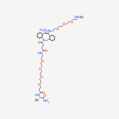 CCNCCOCCOCCOCCN/C1=C(\N)c2ccccc2N(C(=O)CCC(=O)NCCOCCOCCOCCOCCC(=O)N[C@H](C(N)=O)C(C)C)Cc2ccccc21